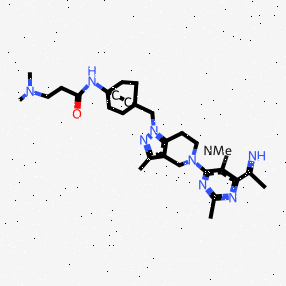 CNc1c(C(C)=N)nc(C)nc1N1CCc2c(c(C)nn2CC23CCC(NC(=O)CCN(C)C)(CC2)CC3)C1